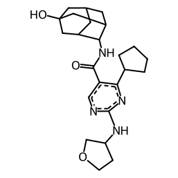 O=C(NC1C2CC3CC1CC(O)(C3)C2)c1cnc(NC2CCOC2)nc1C1CCCC1